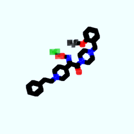 COc1ccccc1CN1CCN(C(=O)C(=NO)C2CCN(CCc3ccccc3)CC2)CC1.Cl